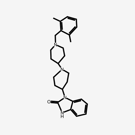 Cc1cccc(C)c1CN1CCC(N2CCC(n3c(=O)[nH]c4ccccc43)CC2)CC1